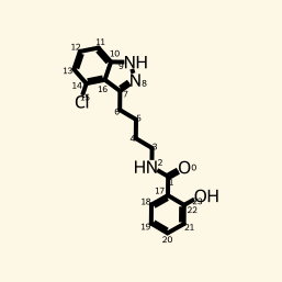 O=C(NCCCCc1n[nH]c2cccc(Cl)c12)c1ccccc1O